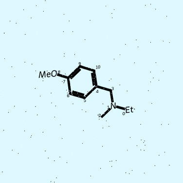 C[CH]N(C)Cc1ccc(OC)cc1